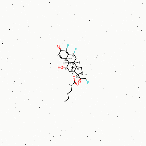 CCCCCC(=O)O[C@@]1(C(=O)CF)[C@@H](C)C[C@H]2[C@@H]3C[C@H](F)C4=C(F)C(=O)C=C[C@]4(C)[C@H]3[C@@H](O)C[C@@]21C